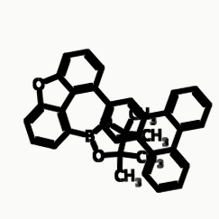 CC1(C)OB(c2cccc3oc4cccc(-c5ccc6c7ccccc7c7ccccc7c6c5)c4c23)OC1(C)C